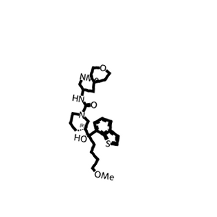 CNCC(CC1CCOCC1)NC(=O)N1CCC[C@@H]([C@@](O)(CCCCOC)c2cccc3ccsc23)C1